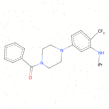 CC(C)Nc1cc(N2CCN(C(=O)c3ccccc3)CC2)ccc1C(F)(F)F